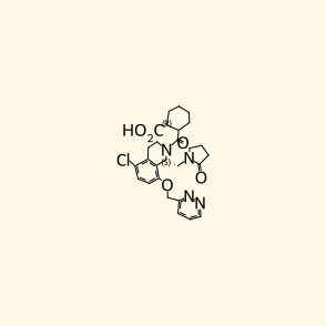 O=C(O)[C@@H]1CCCCC1C(=O)N1CCc2c(Cl)ccc(OCc3cccnn3)c2[C@H]1CN1CCCC1=O